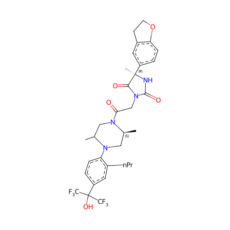 CCCc1cc(C(O)(C(F)(F)F)C(F)(F)F)ccc1N1C[C@H](C)N(C(=O)CN2C(=O)N[C@](C)(c3ccc4c(c3)CCO4)C2=O)CC1C